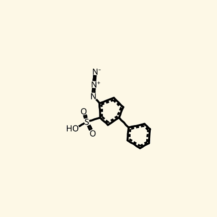 [N-]=[N+]=Nc1ccc(-c2ccccc2)cc1S(=O)(=O)O